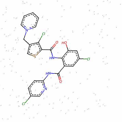 O=C(Nc1ccc(Cl)cn1)c1cc(Cl)cc(O)c1NC(=O)c1scc(C[n+]2ccccc2)c1Cl